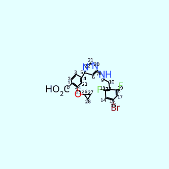 O=C(O)c1ccc(-c2cc(NCCc3c(F)cc(Br)cc3F)ncn2)cc1OC1CC1